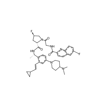 C[C@H](NC(=O)[C@@H]1C[C@@H](F)CN1C(=O)CNC(=O)c1ccc2cc(F)ccc2n1)c1ccc(N2CCC(N(C)C)CC2)cc1/C=C/C1CC1